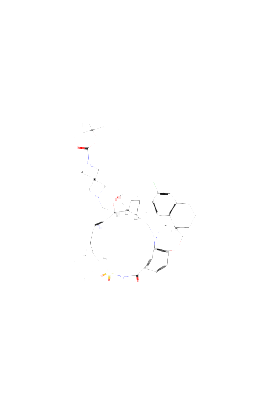 CO[C@@]1(CN2CC3(C2)CN(C(=O)OC(C)(C)C)C3)/C=C/C[C@H](C)[C@@H](C)S(=O)(=O)NC(=O)c2ccc3c(c2)N(C[C@@H]2CC[C@H]21)C[C@@]1(CCCc2cc(Cl)ccc21)CO3